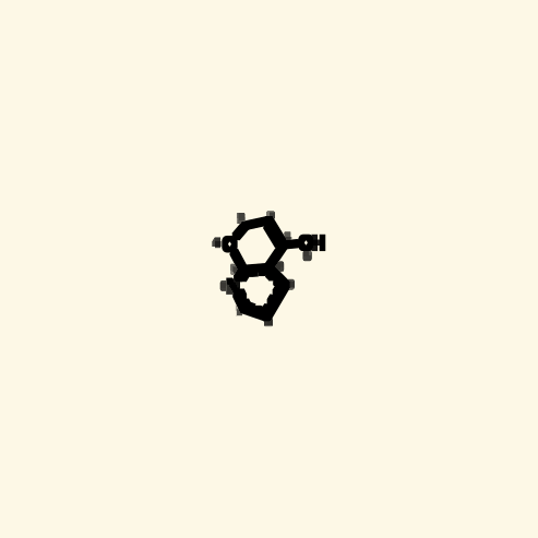 OC1=CCOc2ncccc21